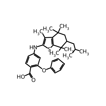 Cc1c(Nc2ccc(C(=O)O)c(Oc3ccccc3)c2)sc2c1C(C)(C)CC(CC(C)C)C2(C)C